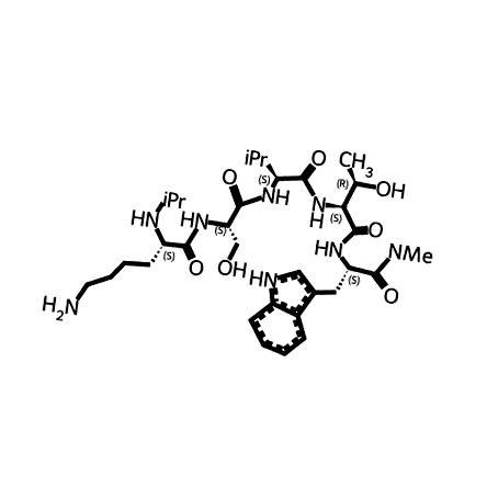 CNC(=O)[C@H](Cc1c[nH]c2ccccc12)NC(=O)[C@@H](NC(=O)[C@@H](NC(=O)[C@H](CO)NC(=O)[C@H](CCCCN)NC(C)C)C(C)C)[C@@H](C)O